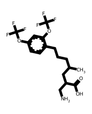 CC(CCCc1ccc(OC(F)(F)F)cc1OC(F)(F)F)CC(CN)C(=O)O